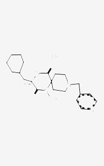 CCCCN1C(=O)[C@@H]([C@H](O)C2CCCCC2)NC(=O)C12CCN(Cc1ccncc1)CC2.Cl.Cl